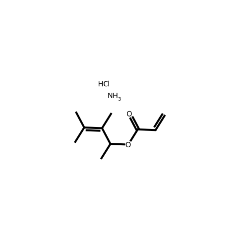 C=CC(=O)OC(C)C(C)=C(C)C.Cl.N